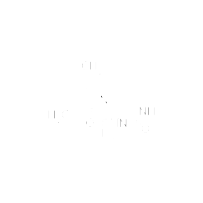 C=CC1=C(C=C)C(=O)N(C2CCNC(=O)NC2C)C1